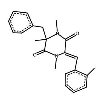 CN1C(=O)C(C)(Cc2ccccc2)N(C)C(=O)C1=Cc1ccccc1I